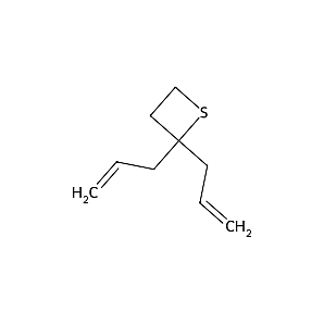 C=CCC1(CC=C)CCS1